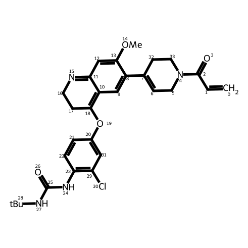 C=CC(=O)N1CC=C(c2cc3c(cc2OC)=NCCC=3Oc2ccc(NC(=O)NC(C)(C)C)c(Cl)c2)CC1